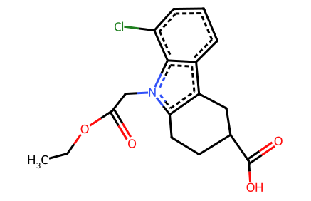 CCOC(=O)Cn1c2c(c3cccc(Cl)c31)CC(C(=O)O)CC2